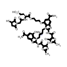 CCc1nc(C)oc1C(=O)Nc1nc2cc(C(N)=O)cc(OC)c2n1C/C=C/Cn1c(NC(=O)c2oc(C)nc2CC)nc2cc(C(N)=O)cc(OCCCOC(=O)[C@H](CCC(=O)O)NC(=O)CN3C(=O)CC(S)C3=O)c21